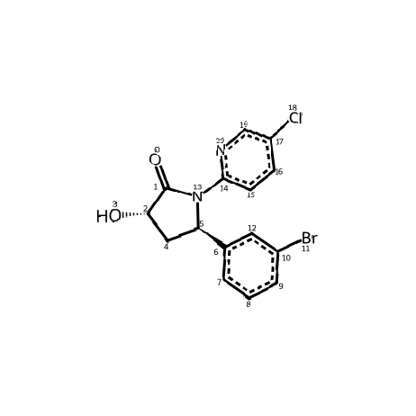 O=C1[C@@H](O)C[C@H](c2cccc(Br)c2)N1c1ccc(Cl)cn1